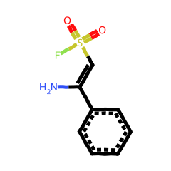 NC(=CS(=O)(=O)F)c1ccccc1